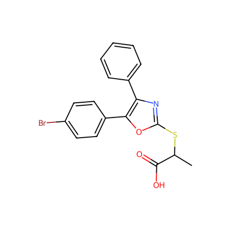 CC(Sc1nc(-c2ccccc2)c(-c2ccc(Br)cc2)o1)C(=O)O